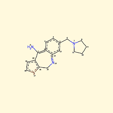 NC1=c2ccc(CN3CCCC3)cc2=NCc2sccc21